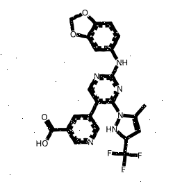 CC1=CC(C(F)(F)F)NN1c1nc(Nc2ccc3c(c2)OCO3)ncc1-c1cncc(C(=O)O)c1